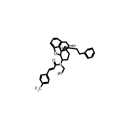 CC(C)CN(C(=O)/C=C/c1ccc(C(F)(F)F)cc1)C1CC[C@@]2(O)[C@H]3Cc4cccc5c4[C@@]2(CCN3CCc2ccccc2)C1O5